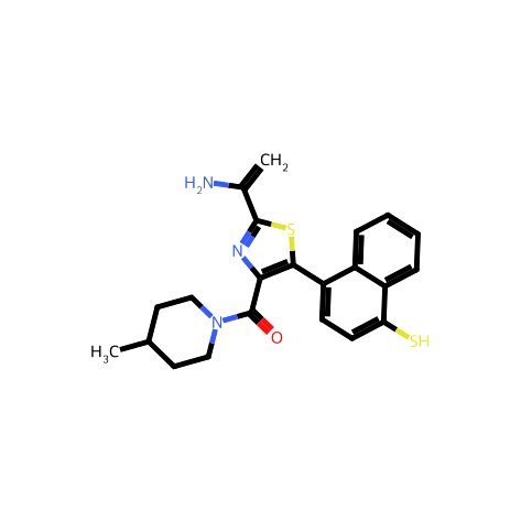 C=C(N)c1nc(C(=O)N2CCC(C)CC2)c(-c2ccc(S)c3ccccc23)s1